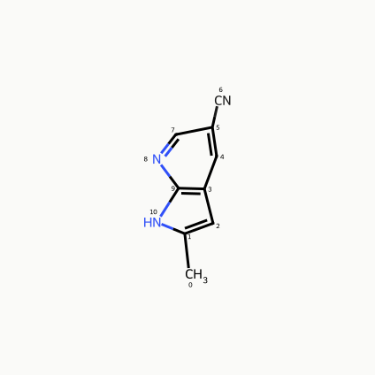 Cc1cc2cc(C#N)cnc2[nH]1